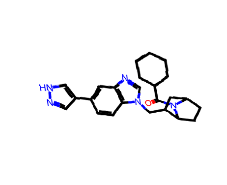 O=C(C1CCCCC1)N1C2CCC1C(Cn1cnc3cc(-c4cn[nH]c4)ccc31)C2